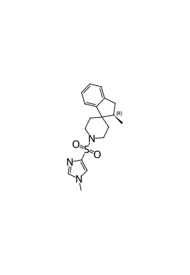 C[C@@H]1Cc2ccccc2C12CCN(S(=O)(=O)c1cn(C)cn1)CC2